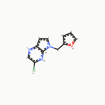 Clc1cnc2ccn(Cc3ccco3)c2n1